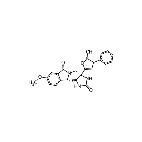 COc1ccc2c(c1)C(=O)N(C[C@]1(C3=CC(c4ccccc4)N(C)O3)NC(=O)NC1=O)C2